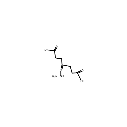 O=C(O)CCC(CCC(=O)O)=NO.[NaH]